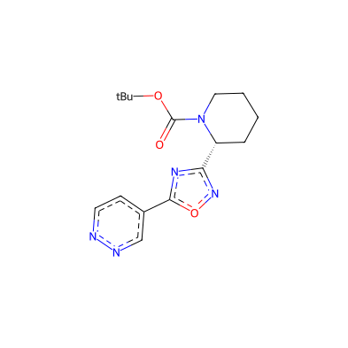 CC(C)(C)OC(=O)N1CCCC[C@@H]1c1noc(-c2ccnnc2)n1